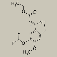 CCOC(=O)/C=C1\NCCc2cc(OC)c(OC(F)F)cc21